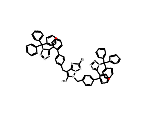 CCCCc1c(Cc2ccc(-c3ccccc3-c3nnnn3C(c3ccccc3)(c3ccccc3)c3ccccc3)cc2)c2nc(CC)nn2n1Cc1ccc(-c2ccccc2-c2nnnn2C(c2ccccc2)(c2ccccc2)c2ccccc2)cc1